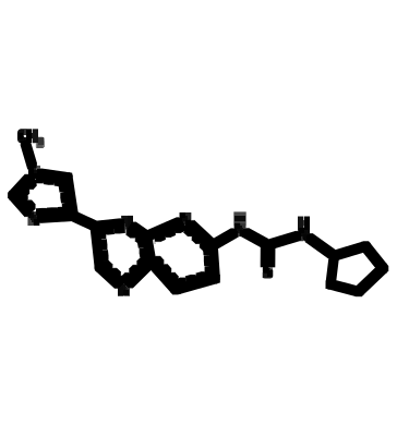 Cn1cnc(-c2cnc3ccc(NC(=S)NC4CCCC4)nc3n2)c1